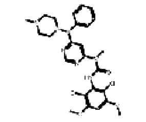 COc1cc(OC)c(Cl)c(NC(=O)N(C)c2cc(N(c3ccccc3)N3CCN(C)CC3)ncn2)c1Cl